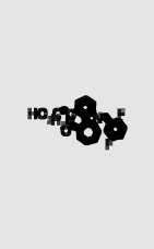 NC(=O)C1CCCCc2c1c1c(OCC(=O)O)cccc1n2Cc1cc(F)ccc1F